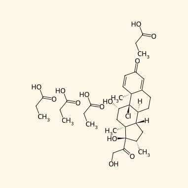 CCC(=O)O.CCC(=O)O.CCC(=O)O.CCC(=O)O.C[C@H]1C[C@H]2[C@@H]3CCC4=CC(=O)C=C[C@]4(C)[C@@]3(Cl)[C@@H](O)C[C@]2(C)[C@@]1(O)C(=O)CO